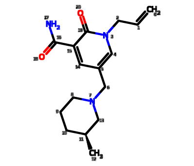 C=CCn1cc(CN2CCC[C@H](C)C2)cc(C(N)=O)c1=O